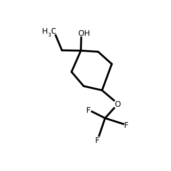 CCC1(O)CCC(OC(F)(F)F)CC1